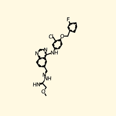 COCC(=N)N/N=C/c1ccc2ncnc(Nc3ccc(OCc4cccc(F)c4)c(Cl)c3)c2c1